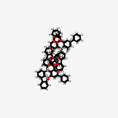 Cc1cccc(-c2cc(-c3ccccc3)cc(F)c2N(c2ccc3c(c2)C(C(C)(C)C)(C2(C(C)(C)C)c4ccccc4-c4ccc(N(c5c(F)cc(-c6ccccc6)cc5C5=CC=CCCC5)c5cccc6c5oc5ccccc56)cc42)c2ccccc2-3)c2cccc3c2oc2ccccc23)c1